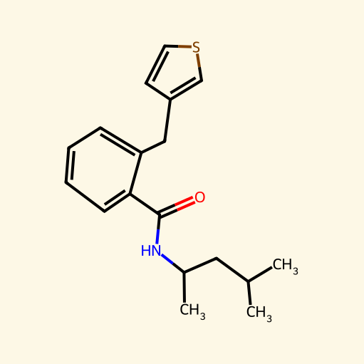 CC(C)CC(C)NC(=O)c1ccccc1Cc1ccsc1